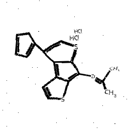 C[C](C)=[Zr][C]1=c2sccc2=C2C(C3=CC=CC3)=CSC21.Cl.Cl